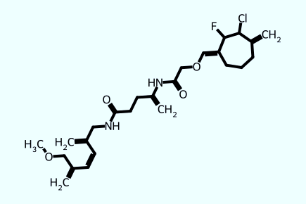 C=C(/C=C\C(=C)COC)CNC(=O)CCC(=C)NC(=O)CO/C=C1\CCCC(=C)C(Cl)C1F